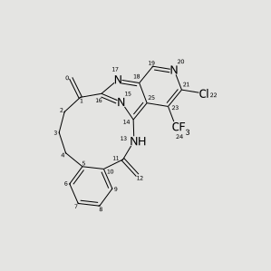 C=C1CCCc2ccccc2C(=C)Nc2nc1nc1cnc(Cl)c(C(F)(F)F)c21